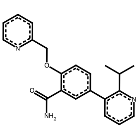 CC(C)c1ncccc1-c1ccc(OCc2ccccn2)c(C(N)=O)c1